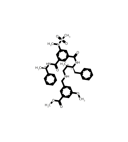 COC(=O)c1cc(CNC[C@@H](C)[C@H](Cc2ccccc2)NC(=O)c2cc(C(=O)N[C@H](C)c3ccccc3)cc(N(C)S(C)(=O)=O)c2)cc(OC)c1